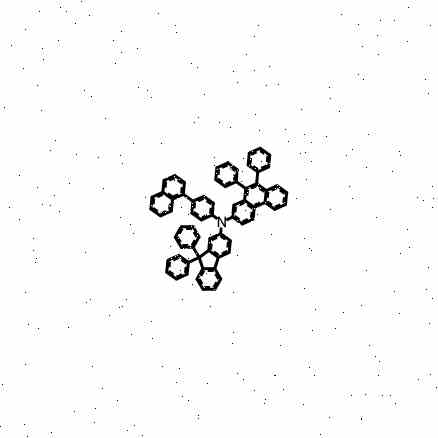 c1ccc(-c2c(-c3ccccc3)c3cc(N(c4ccc(-c5cccc6ccccc56)cc4)c4ccc5c(c4)C(c4ccccc4)(c4ccccc4)c4ccccc4-5)ccc3c3ccccc23)cc1